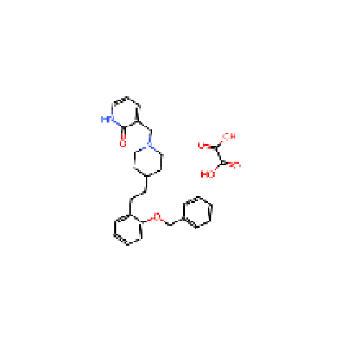 O=C(O)C(=O)O.O=c1[nH]cccc1CN1CCC(CCc2ccccc2OCc2ccccc2)CC1